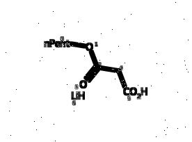 CCCCCOC(=O)CC(=O)O.[LiH]